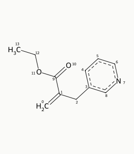 C=C(Cc1cccnc1)C(=O)OCC